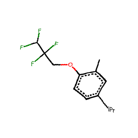 Cc1cc(C(C)C)ccc1OCC(F)(F)C(F)F